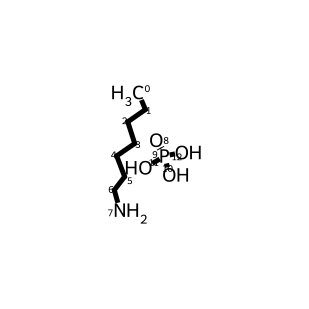 CCCCCCCN.O=P(O)(O)O